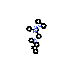 CC1(C)c2ccccc2-c2ccc3c(c21)c1ccccc1n3-c1cccc(-c2cc(-n3c4ccccc4c4ccccc43)nc(-c3ccccc3)n2)c1